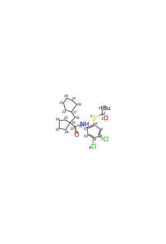 CC(C)(C)C(=O)Sc1cc(Cl)c(Cl)cc1NC(=O)C1(CC2CCCCC2)CCCC1